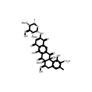 CO[C@@H]1C(=NO)[C@@H](OC)[C@@H](NC2=CC(=O)c3c(cc4c(c3O)C(=O)C3(OC)C(=NO)Cc5cc(C)c(C(=O)O)c(O)c5C3(O)C4=O)C2=O)O[C@H]1C